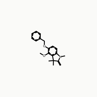 C=C1N(C)c2ccc(OCc3ccccc3)c(OC)c2C1(C)C